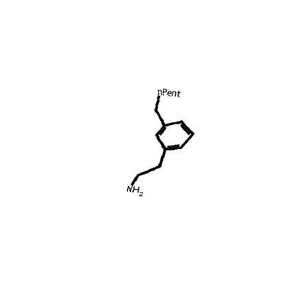 CCCCCCc1cccc(CCN)c1